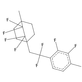 Cc1ccc(C(F)(F)CC23CCC(C)(CC2)C(F)(F)C3(F)F)c(F)c1F